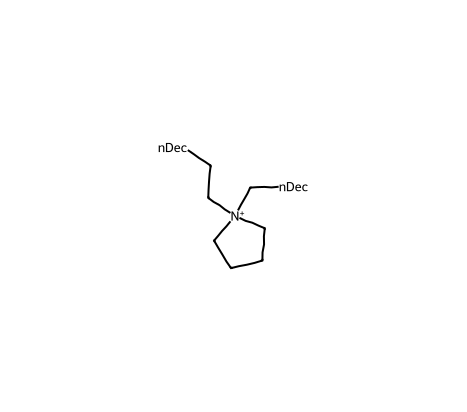 CCCCCCCCCCCC[N+]1(CCCCCCCCCCC)CCCC1